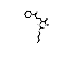 CCCCOC(=O)NC(CCC(=O)N1CCCCC1)C(=O)O